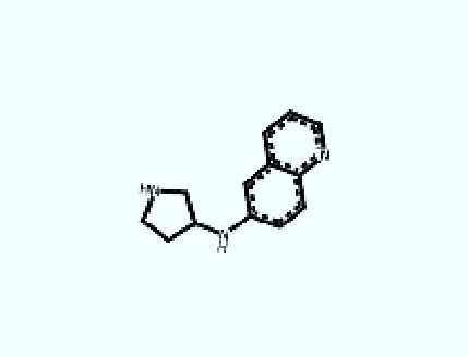 c1cnc2ccc(NC3CCNC3)cc2c1